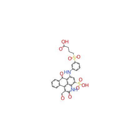 O=Cc1c2c3c(c(Nc4cccc(S(=O)(=O)CCCC(=O)O)c4)cc(S(=O)(=O)O)c3[nH]c1=O)C(=O)c1ccccc1-2